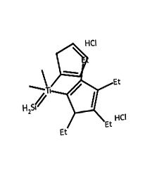 CCC1=C(CC)C(CC)[C]([Ti]([CH3])([CH3])(=[SiH2])[C]2=CC=CC2)=C1CC.Cl.Cl